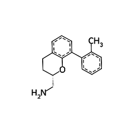 Cc1ccccc1-c1cccc2c1O[C@H](CN)CC2